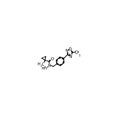 CCCN(Cc1ccc(-c2noc(C(F)(F)F)n2)cc1)C(=O)C1(C)CC1